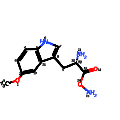 COc1ccc2[nH]cc(C[C@H](N)C(=O)ON)c2c1